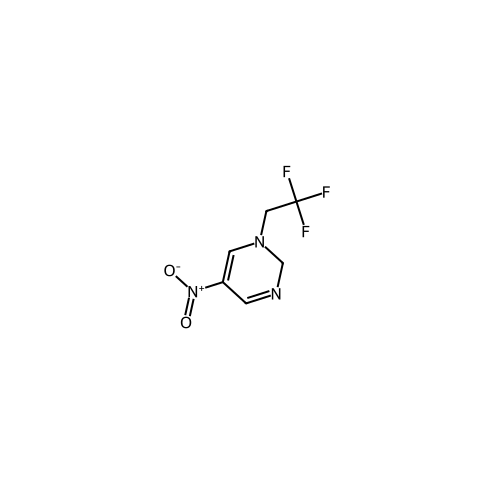 O=[N+]([O-])C1=CN(CC(F)(F)F)CN=C1